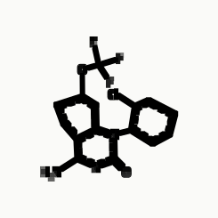 Nc1nc(=O)n(-c2ccccc2Cl)c2cc(OC(F)(F)F)ccc12